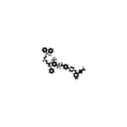 CN(CCO[Si](c1ccccc1)(c1ccccc1)C(C)(C)C)CCC(CSc1ccccc1)Nc1ccc(S(=O)(=O)NC(=O)c2ccc(N3CCN(CC4=C(C56CC(C(F)F)(C5)C6)CC(C)(C)CC4)CC3)cc2)cc1S(=O)(=O)C(F)(F)F